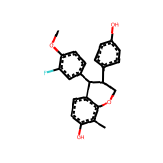 COc1ccc(C2c3ccc(O)c(C)c3OCC2c2ccc(O)cc2)cc1F